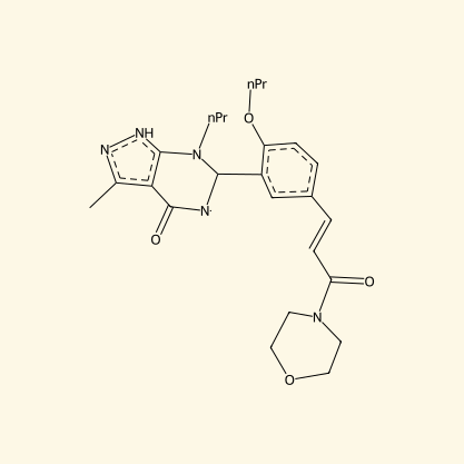 CCCOc1ccc(C=CC(=O)N2CCOCC2)cc1C1[N]C(=O)c2c(C)n[nH]c2N1CCC